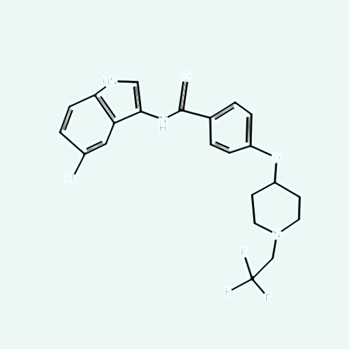 O=C(Nc1c[nH]c2ccc(Cl)cc12)c1ccc(OC2CCN(CC(F)(F)F)CC2)cc1